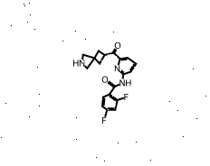 O=C(Nc1cccc(C(=O)C2CC3(CNC3)C2)n1)c1ccc(F)cc1F